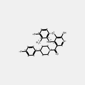 CCc1c(S)ncc(C(=O)N2CCC(c3ccc(F)cc3)CC2)c1Nc1cccc(F)c1C